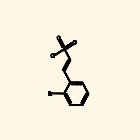 O=S(=O)(Cl)C=Cc1ccccc1Br